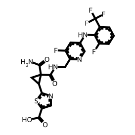 NC(=O)C1(C(=O)NCc2ncc(Nc3c(F)cccc3C(F)(F)F)cc2F)CC1c1ncc(C(=O)O)s1